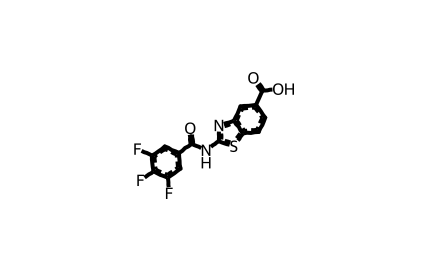 O=C(O)c1ccc2sc(NC(=O)c3cc(F)c(F)c(F)c3)nc2c1